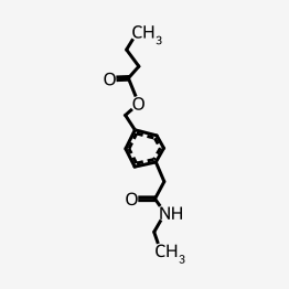 CCCC(=O)OCc1ccc(CC(=O)NCC)cc1